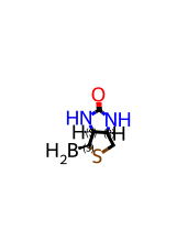 B[C@@H]1SC[C@@H]2NC(=O)N[C@@H]21